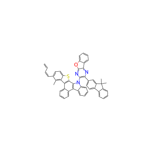 C=C/C=C\c1ccc2sc3c(c4ccccc4c4c5ccccc5n(-c5nc6oc7ccccc7c6nc5-c5ccc6c(c5)C(C)(C)c5ccccc5-6)c34)c2c1C